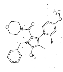 Cc1c(-c2ccc(OC(F)(F)F)cc2F)c(C(=O)N2CCOCC2)n(Cc2ccccc2)c1C(F)(F)F